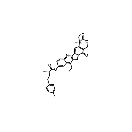 CCc1c2c(nc3ccc(OC(=O)C(C)CCc4ccc(I)cc4)cc13)-c1cc3c(c(=O)n1C2)COC(=O)[C@]3(C)CC